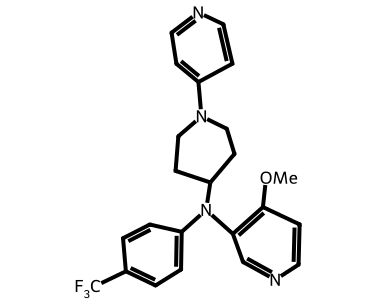 COc1ccncc1N(c1ccc(C(F)(F)F)cc1)C1CCN(c2ccncc2)CC1